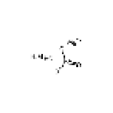 O=[N+]([O-])[O-].[AlH3].[Mg+2].[OH-]